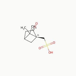 CC1(C)C2CC(=O)[C@]1(CS(=O)(=O)O)C2